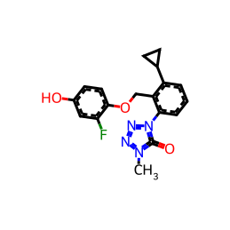 Cn1nnn(-c2cccc(C3CC3)c2COc2ccc(O)cc2F)c1=O